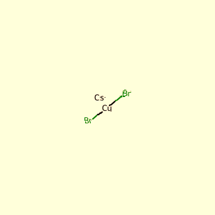 [Br][Cu][Br].[Cs]